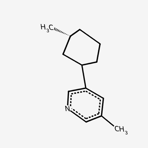 Cc1cncc(C2CCC[C@@H](C)C2)c1